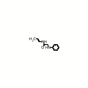 [CH2]C=CNC(=O)CNc1ccccc1